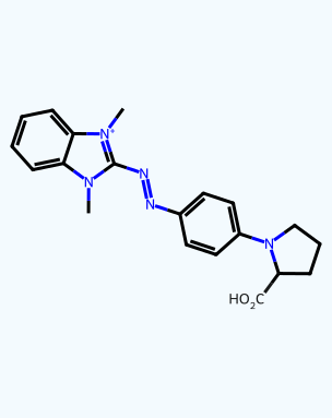 Cn1c(/N=N/c2ccc(N3CCCC3C(=O)O)cc2)[n+](C)c2ccccc21